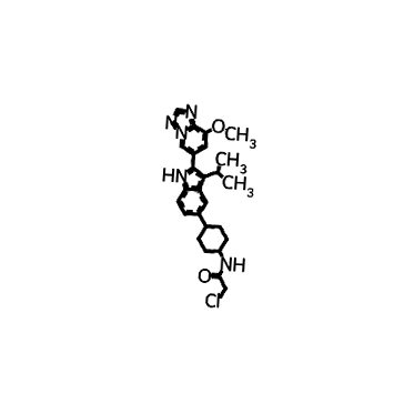 COc1cc(-c2[nH]c3ccc(C4CCC(NC(=O)CCl)CC4)cc3c2C(C)C)cn2ncnc12